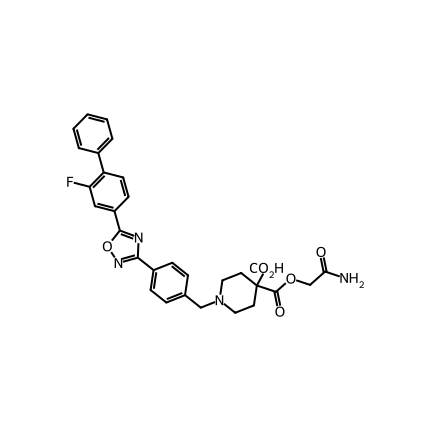 NC(=O)COC(=O)C1(C(=O)O)CCN(Cc2ccc(-c3noc(-c4ccc(-c5ccccc5)c(F)c4)n3)cc2)CC1